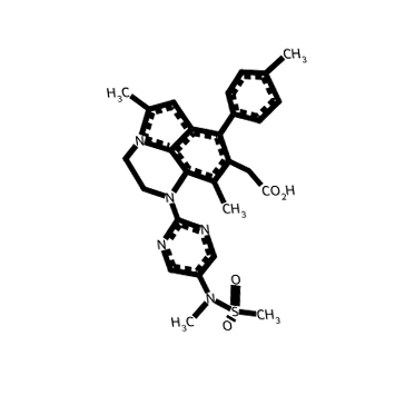 Cc1ccc(-c2c(CC(=O)O)c(C)c3c4c2cc(C)n4CCN3c2ncc(N(C)S(C)(=O)=O)cn2)cc1